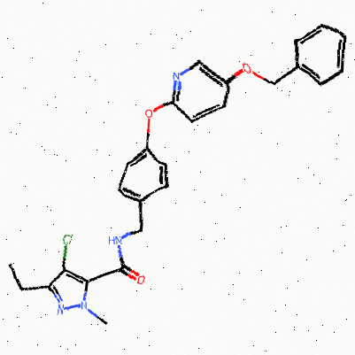 CCc1nn(C)c(C(=O)NCc2ccc(Oc3ccc(OCc4ccccc4)cn3)cc2)c1Cl